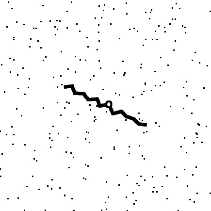 CCCCCC[CH]OCCCCCC